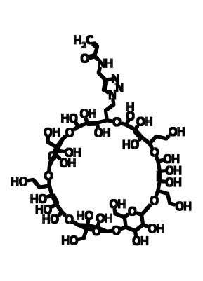 C=CC(=O)NCc1cn(CCC2OC(O)/C(O)=C(\O)C(CCO)OC(O)/C(O)=C(/O)C(CCO)OC3OC(CO)C(OC4OC(CO)C(OC(O)/C(O)=C(/O)C(CCO)OC5OC(CO)C(OC(O)/C(O)=C/2O)C(O)C5O)C(O)C4O)C(O)C3O)nn1